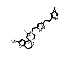 CCc1cc2c(s1)CCO[C@@]21CCN(Cc2cn(CCc3cn(C)cn3)nn2)[C@@H](C)C1